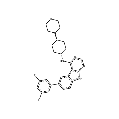 Fc1cc(F)cc(-c2ccc3[nH]c4ncnc(N[C@H]5CC[C@H](N6CCOCC6)CC5)c4c3c2)c1